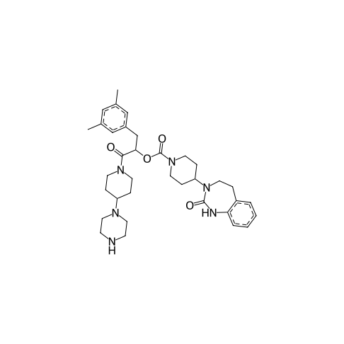 Cc1cc(C)cc(CC(OC(=O)N2CCC(N3CCc4ccccc4NC3=O)CC2)C(=O)N2CCC(N3CCNCC3)CC2)c1